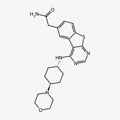 NC(=O)Cc1ccc2sc3ncnc(N[C@H]4CC[C@H](N5CCOCC5)CC4)c3c2c1